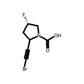 O=C(O)N1C[C@@H](F)CC1C#CBr